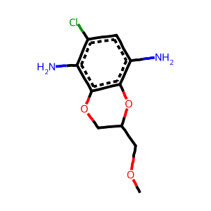 COCC1COc2c(N)c(Cl)cc(N)c2O1